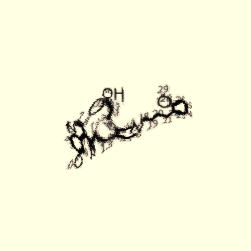 COc1ccc2nccc([C@H](F)CC[C@@H]3CCN(CCCCc4ccccc4OC)C[C@H]3CCC(=O)O)c2c1